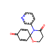 O=C1C=CC2(C=C1)OCCC(=O)N2c1cccnc1